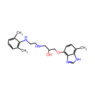 Cc1cccc(C)c1NCCNCC(O)COc1ccc(C)c2[nH]cnc12